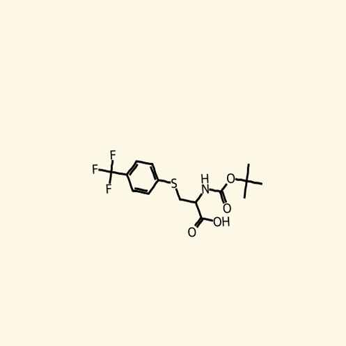 CC(C)(C)OC(=O)NC(CSc1ccc(C(F)(F)F)cc1)C(=O)O